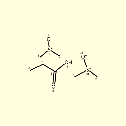 CCC(=O)O.C[S+](C)[O-].C[S+](C)[O-]